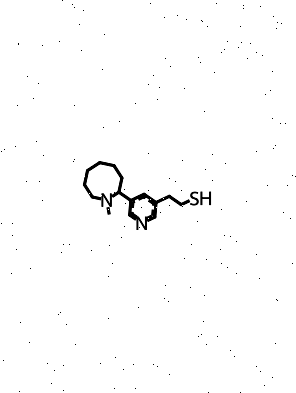 CN1CCCCCCC1c1cncc(CCS)c1